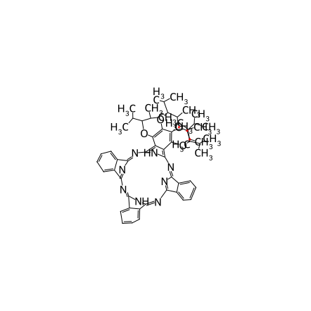 CC(C)C(Oc1c(OC(C(C)C)C(C)C)c(OC(C(C)C)C(C)C)c2c3nc4nc(nc5[nH]c(nc6nc(nc([nH]3)c2c1OC(C(C)C)C(C)C)-c1ccccc1-6)c1ccccc51)-c1ccccc1-4)C(C)C